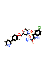 NC(=O)c1[nH]c2ccc(Cl)cc2c1S(=O)(=O)N1CCO[C@H](COc2ccc(-c3cccnc3)cc2)C1